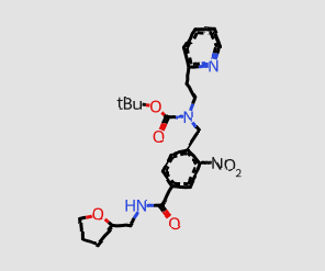 CC(C)(C)OC(=O)N(CCc1ccccn1)Cc1ccc(C(=O)NCC2CCCO2)cc1[N+](=O)[O-]